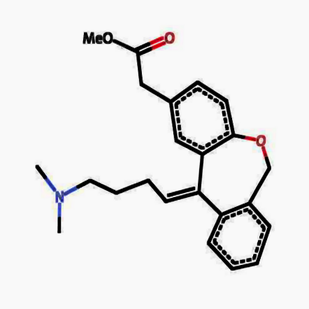 COC(=O)Cc1ccc2c(c1)C(=CCCCN(C)C)c1ccccc1CO2